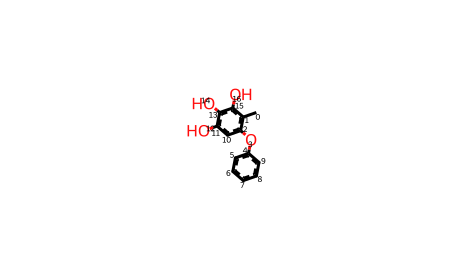 Cc1c(Oc2ccccc2)cc(O)c(O)c1O